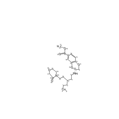 CCCC(CCN[C@H]1COc2ccc(C(=O)OC)cc2O1)CCN1CCOCC1=O